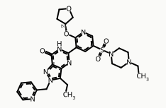 CCc1c2nc(-c3cc(S(=O)(=O)N4CCN(CC)CC4)cnc3O[C@H]3CCOC3)[nH]c(=O)c2nn1Cc1ccccn1